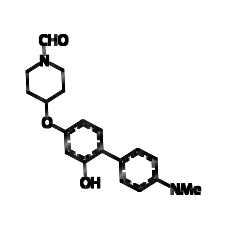 CNc1ccc(-c2ccc(OC3CCN(C=O)CC3)cc2O)cc1